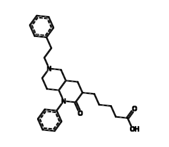 O=C(O)CCCCC1CC2CN(CCc3ccccc3)CCC2N(c2ccccc2)C1=O